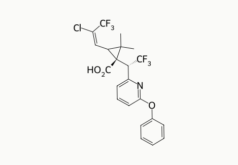 CC1(C)C(/C=C(/Cl)C(F)(F)F)[C@@]1(C(=O)O)[C@@H](c1cccc(Oc2ccccc2)n1)C(F)(F)F